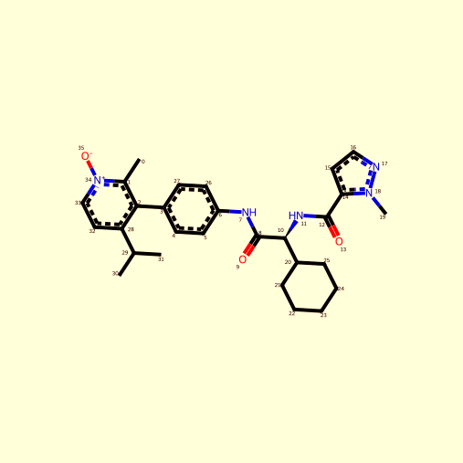 Cc1c(-c2ccc(NC(=O)[C@@H](NC(=O)c3ccnn3C)C3CCCCC3)cc2)c(C(C)C)cc[n+]1[O-]